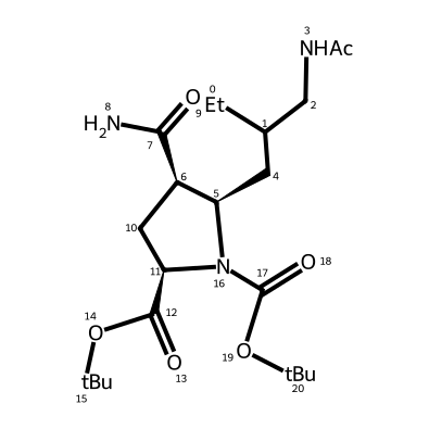 CCC(CNC(C)=O)C[C@@H]1[C@H](C(N)=O)C[C@H](C(=O)OC(C)(C)C)N1C(=O)OC(C)(C)C